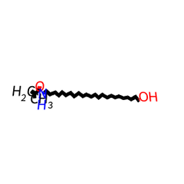 C=C(C)C(=O)NCCCCCCCCCCCCCCCCCCCCCCCCO